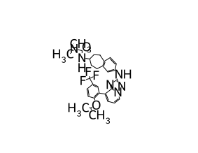 CC(C)Oc1ccc(C(F)(F)F)cc1-c1cccn2nc(Nc3ccc4c(c3)CCC(NC(=O)N(C)C)CC4)nc12